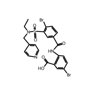 CCN(Cc1ccncc1)S(=O)(=O)c1cc(C(=O)Nc2ccc(Br)cc2C(=O)O)ccc1Br